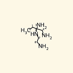 CCC(N)(CN)NCCN